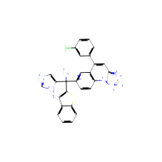 Cn1cncc1C(N)(c1ccc2c(c1)c(-c1cccc(Cl)c1)cc1nnnn12)c1cc2ccccc2s1